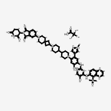 COc1cc(N2CCC(C3CCN(C4CC5(CCN(c6ccc7c(c6)C(=O)N(C6CCC(=O)NC6=O)C7=O)CC5)C4)CC3)CC2)c(-c2cnn(C)c2)cc1Nc1ncc(Cl)c(Nc2ccc3nccnc3c2P(C)(C)=O)n1.O=C(O)C(F)(F)F